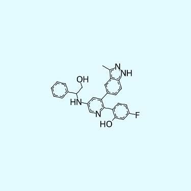 Cc1n[nH]c2ccc(-c3cc(NC(CO)c4ccccc4)cnc3-c3ccc(F)cc3O)cc12